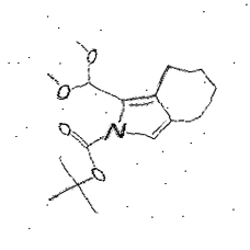 COC(OC)c1c2c(cn1C(=O)OC(C)(C)C)CCCC2